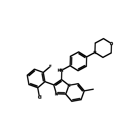 Cc1ccc2nc(-c3c(F)cccc3Cl)c(Nc3ccc(N4CCOCC4)cc3)n2c1